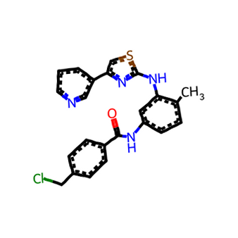 Cc1ccc(NC(=O)c2ccc(CCl)cc2)cc1Nc1nc(-c2cccnc2)cs1